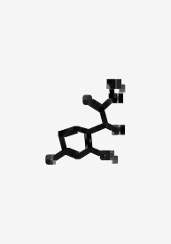 Cc1cc(Cl)ccc1C(S)C(=O)NN